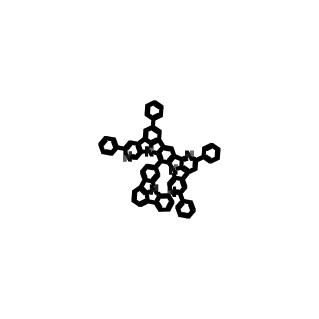 c1ccc(-c2cc3c4cc(-c5ccccc5)ncc4n4c5c(-c6ccc7c8cccc9c%10ccccc%10n(c7c6)c98)c6c(cc5c(c2)c34)c2nc(-c3ccccc3)cc3c4cc(-c5ccccc5)ncc4n6c32)cc1